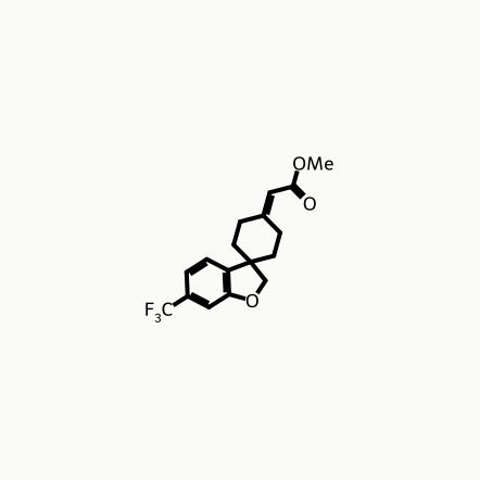 COC(=O)C=C1CCC2(CC1)COc1cc(C(F)(F)F)ccc12